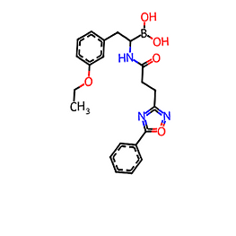 CCOc1cccc(CC(NC(=O)CCc2noc(-c3ccccc3)n2)B(O)O)c1